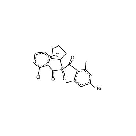 Cc1cc(C(C)(C)C)cc(C)c1C(=O)P(=O)(C(=O)c1c(Cl)cccc1Cl)C1CCCC1